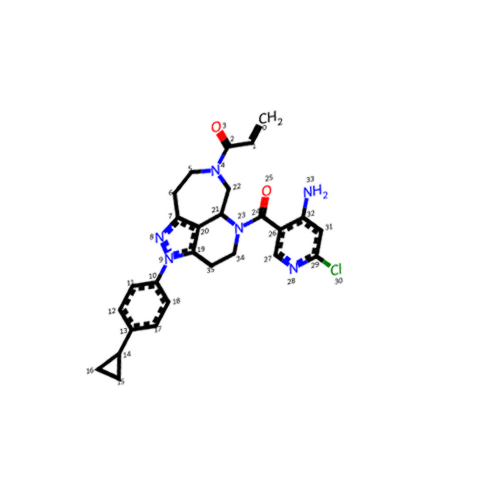 C=CC(=O)N1CCc2nn(-c3ccc(C4CC4)cc3)c3c2C(C1)N(C(=O)c1cnc(Cl)cc1N)CC3